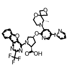 C[C@@H]1N(c2cc(-n3cccn3)cnc2O[C@H]2C[C@@H](C(=O)O)N(c3nc(C(F)(F)F)nc4c3oc3ccccc34)C2)CCOC12COC2